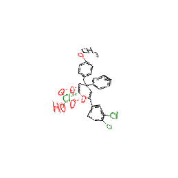 COc1ccc(C2(c3ccccc3)C=COC(c3ccc(Cl)c(Cl)c3)=C2)cc1.[O-][Cl+3]([O-])([O-])O